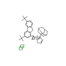 CC(C)(C)c1ccc2c(c1)-c1cc(C(C)(C)C)c[c]([Zr+2][C]3=C(C45CC6CC(CC(C6)C4)C5)C=CC3)c1C2.[Cl-].[Cl-]